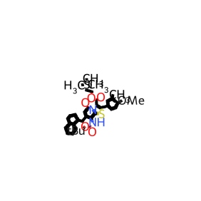 COc1ccc(-c2sc3c(NC(=O)OC(C)(C)C)c(Cc4cccc5ccccc45)cc(=O)n3c2C(=O)OCC[Si](C)(C)C)cc1C